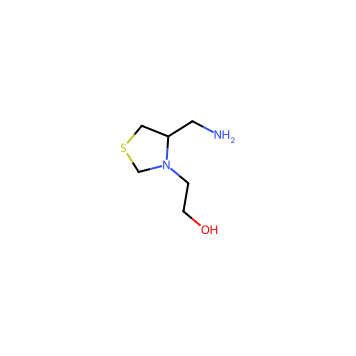 NCC1CSCN1CCO